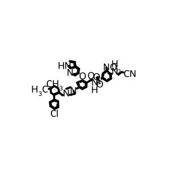 CC1(C)CCC(CN2CCN(c3ccc(C(=O)NS(=O)(=O)c4ccc(NCCC#N)c([N+](=O)[O-])c4)c(Oc4cnc5[nH]ccc5c4)c3)CC2)=C(c2ccc(Cl)cc2)C1